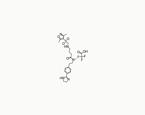 Cc1noc(C)c1S(=O)(=O)CNCCCC(=O)N(C)CCc1ccc(C2=NCCN2)cc1.O=C(O)C(F)(F)F